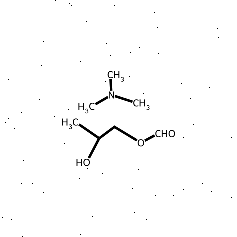 CC(O)COC=O.CN(C)C